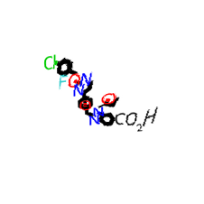 O=C(O)c1ccc2nc(CC34CCC(c5ccnc(OCc6ccc(Cl)cc6F)n5)(CC3)CO4)n(C[C@@H]3CCO3)c2c1